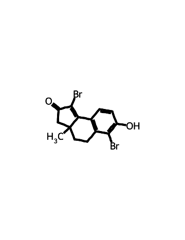 CC12CCc3c(ccc(O)c3Br)C1=C(Br)C(=O)C2